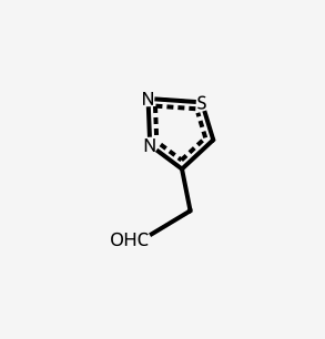 O=CCc1csnn1